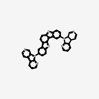 C1=CC2c3cccnc3N(c3ccc4oc5ccc6c7cc(-n8c9cnccc9c9cccnc98)ccc7oc6c5c4c3)C2C=N1